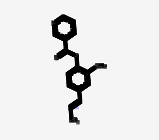 COc1cc(/C=C/[N+](=O)[O-])ccc1OC(=O)c1cccnc1